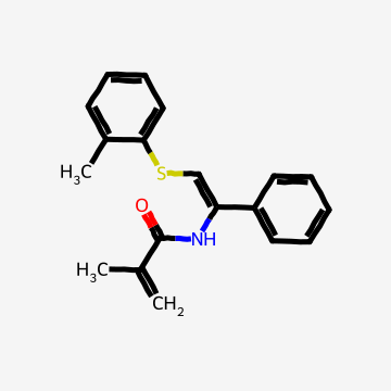 C=C(C)C(=O)NC(=CSc1ccccc1C)c1ccccc1